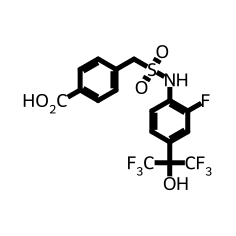 O=C(O)c1ccc(CS(=O)(=O)Nc2ccc(C(O)(C(F)(F)F)C(F)(F)F)cc2F)cc1